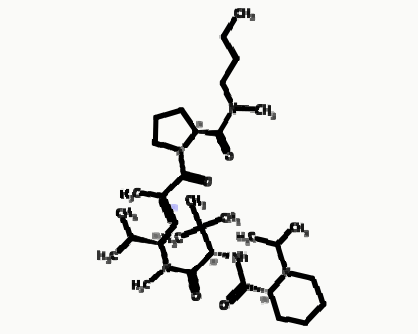 CCCCN(C)C(=O)[C@@H]1CCCN1C(=O)/C(C)=C/[C@H](C(C)C)N(C)C(=O)[C@@H](NC(=O)[C@H]1CCCCN1C(C)C)C(C)(C)C